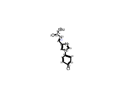 CC(C)(C)[S+]([O-])/N=C/c1cn(-c2ccc(Cl)cc2)cn1